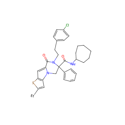 CCc1cc2c(cc3n2CC(C(=O)NC2CCCCCC2)(c2ccccc2)N(CCc2ccc(Cl)cc2)C3=O)s1